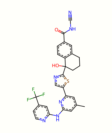 Cc1cc(Nc2cc(C(F)(F)F)ccn2)nc(-c2cnc(C3(O)CCCc4cc(C(=O)NC#N)ccc43)s2)c1